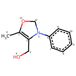 CC1=C(CO)N(c2ccccc2)CO1